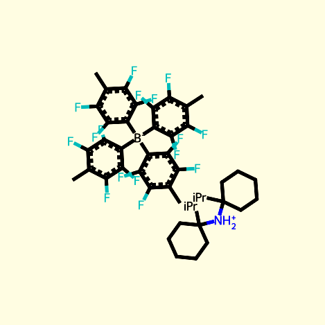 CC(C)C1([NH2+]C2(C(C)C)CCCCC2)CCCCC1.Cc1c(F)c(F)c([B-](c2c(F)c(F)c(C)c(F)c2F)(c2c(F)c(F)c(C)c(F)c2F)c2c(F)c(F)c(C)c(F)c2F)c(F)c1F